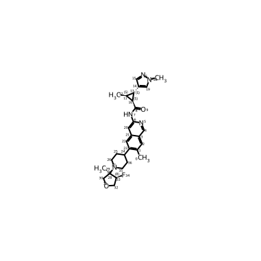 Cc1cc2cnc(NC(=O)[C@H]3[C@@H](C)[C@@H]3c3cnn(C)c3)cc2cc1C1CCN([C@]2(C)COC[C@@H]2F)CC1